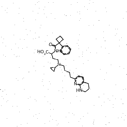 O=C(O)C(CCN(CCCCc1ccc2c(n1)NCCC2)C1CC1)NC(=O)C1(c2ccccc2)CCC1